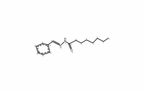 CCCCCCCC(=O)NN=Cc1ccccc1